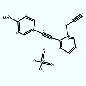 C#CC[n+]1ccccc1C#Cc1ccc(OC)cc1.O=S(=O)([O-])C(F)(F)F